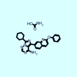 NC(=O)O.Nc1ncnn2c(C3CCCCC3)nc(-c3ccc4ccc(Oc5ccccc5)nc4c3)c12